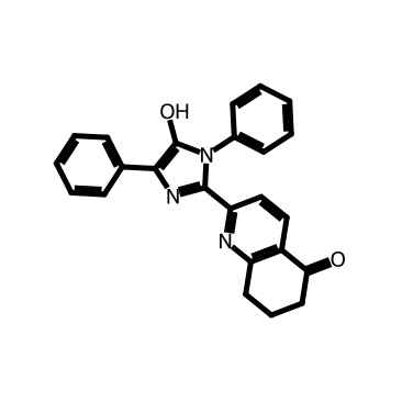 O=C1CCCc2nc(-c3nc(-c4ccccc4)c(O)n3-c3ccccc3)ccc21